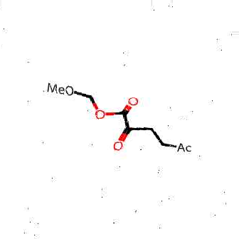 COCOC(=O)C(=O)CCC(C)=O